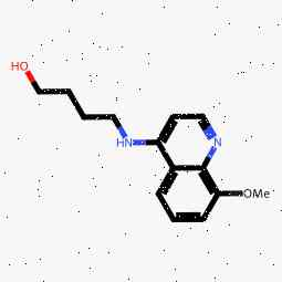 COc1cccc2c(NCCCCO)ccnc12